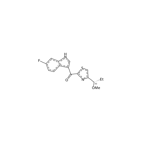 CC[C@H](OC)c1csc(C(=O)c2c[nH]c3cc(F)ccc23)n1